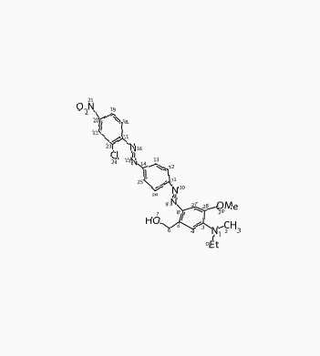 CCN(C)c1cc(CO)c(N=Nc2ccc(N=Nc3ccc([N+](=O)[O-])cc3Cl)cc2)cc1OC